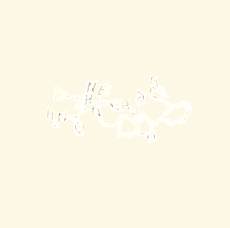 C=C(CC)N(Cc1ccc2oc(-c3ccccc3C)c(Br)c2c1)/C(C(N)=O)=C(\N)C1CC1